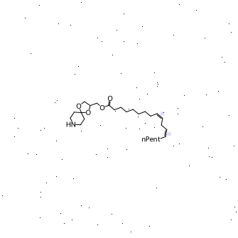 CCCCC/C=C\C/C=C\CCCCCCCC(=O)OCC1COC2(CCNCC2)O1